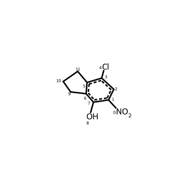 O=[N+]([O-])c1cc(Cl)c2c(c1O)CCC2